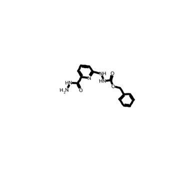 NNC(=O)c1cccc(NNC(=O)OCc2ccccc2)n1